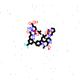 CCn1c(-c2cc(N3CCN4CCCC4C3)cnc2[C@H](C)OC)c(CC(C)(C)COC(C)=O)c2cc(-c3cc(CC(NC(=O)OC(C)(C)C)C(=O)N4CCCC(C(=O)O)N4)cc(C(F)F)c3)ccc21